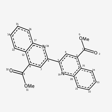 COC(=O)c1cc(-c2cc(C(=O)OC)c3ccccc3n2)nc2ccccc12